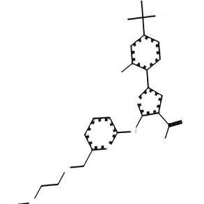 COC(C)(C)c1ccc(-c2cc(C(N)=O)c(Nc3cccc(COCCOC(C)C)n3)s2)c(F)c1